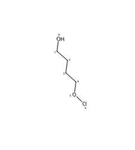 OCCCCOCl